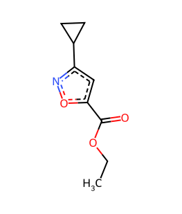 CCOC(=O)c1cc(C2CC2)no1